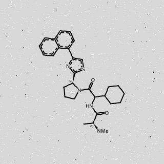 CN[C@@H](C)C(=O)NC(C(=O)N1CCC[C@H]1c1nc(-c2cccc3ccccc23)cs1)C1CCCCC1